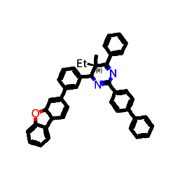 CC[C@@]1(C)C(c2ccccc2)=NC(c2ccc(-c3ccccc3)cc2)=NC1c1cccc(C2=CC3Oc4ccccc4C3C=C2)c1